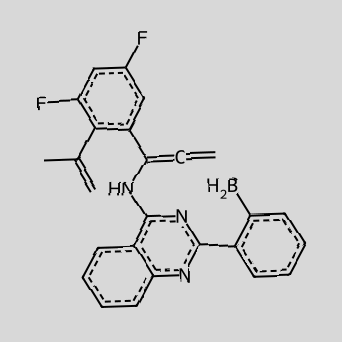 Bc1ccccc1-c1nc(NC(=C=C)c2cc(F)cc(F)c2C(=C)C)c2ccccc2n1